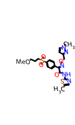 COCCCS(=O)(=O)c1ccc(/C(=N\OCc2ccn(C)n2)C(=O)Nc2ncc(C)s2)cc1